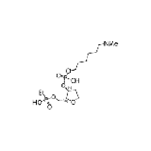 CCP(=O)(O)OC[C@H]1OCC[C@@H]1OP(=O)(O)OCCCCCCNC